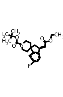 CCOC(=O)C=C1CC2(CCN(C(=O)OC(C)(C)C)CC2)c2cc(F)ccc21